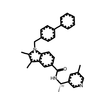 Cc1cncc([C@H](C)NC(=O)c2ccc3c(c2)c(C)c(C)n3Cc2ccc(-c3ccccc3)cc2)c1